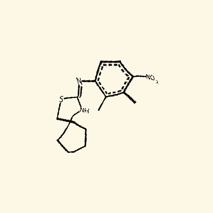 Cc1c(/N=C2\NC3(CCCC3)CS2)ccc([N+](=O)[O-])c1C